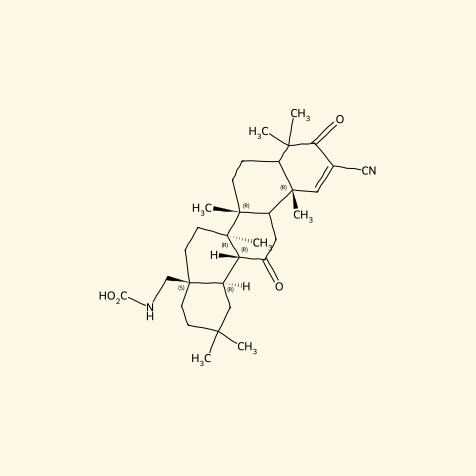 CC1(C)CC[C@]2(CNC(=O)O)CC[C@]3(C)[C@H](C(=O)CC4[C@@]5(C)C=C(C#N)C(=O)C(C)(C)C5CC[C@]43C)[C@H]2C1